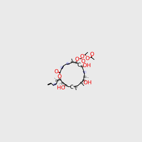 C=C/C=C\[C@H](C)[C@@H]1OC(=O)/C=C\C=C\[C@@H](C)[C@@H](OC(=O)OC(C)OC(C)=O)C[C@H](O)/C=C\[C@H](C)[C@H](O)[C@@H](C)C[C@@H](C)CC[C@@H](O)[C@@H]1C